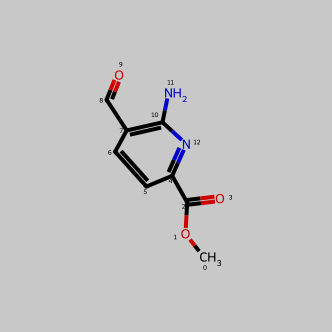 COC(=O)c1ccc(C=O)c(N)n1